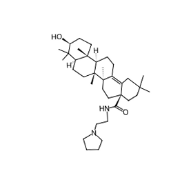 CC1(C)CC[C@]2(C(=O)NCCN3CCCC3)CC[C@]3(C)C(=C2C1)CC[C@@H]1[C@@]2(C)CC[C@H](O)C(C)(C)[C@@H]2CC[C@]13C